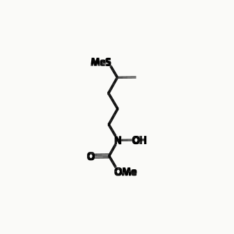 COC(=O)N(O)CCCC(C)SC